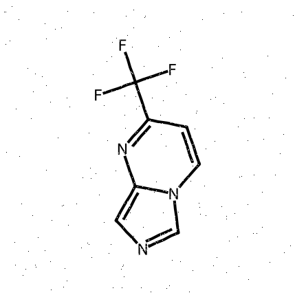 FC(F)(F)c1ccn2cncc2n1